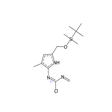 C=N/C(Cl)=N\c1[nH]c(CO[Si](C)(C)C(C)(C)C)cc1C